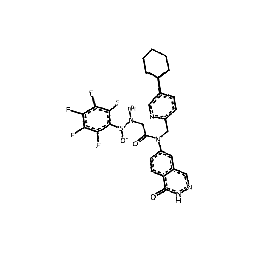 CCCN(CC(=O)N(Cc1ccc(C2CCCCC2)cn1)c1ccc2c(=O)[nH]ncc2c1)[S+]([O-])c1c(F)c(F)c(F)c(F)c1F